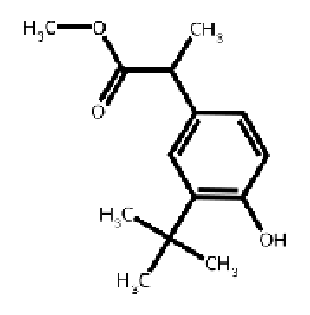 COC(=O)C(C)c1ccc(O)c(C(C)(C)C)c1